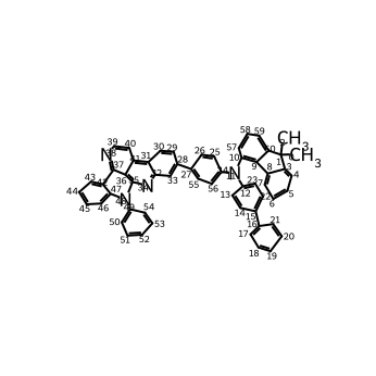 CC1(C)c2ccccc2-c2c(N(c3ccc(-c4ccccc4)cc3)c3ccc(-c4ccc5c(c4)nc4c6c(nccc65)-c5ccccc5N4c4ccccc4)cc3)cccc21